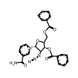 [N-]=[N+]=NC1[C@H](OC(=O)c2ccccc2)C(COC(=O)c2ccccc2)O[C@H]1[n+]1cccc(C(N)=O)c1